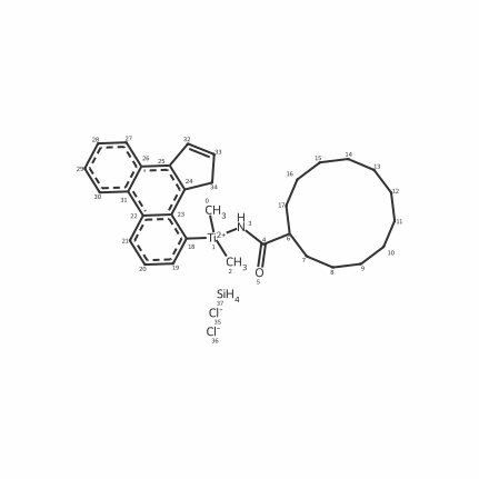 [CH3][Ti+2]([CH3])([NH]C(=O)C1CCCCCCCCCCC1)[c]1cccc2c1c1c(c3ccccc32)C=CC1.[Cl-].[Cl-].[SiH4]